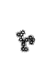 c1cc(-c2cc3ccccc3c3ccccc23)cc(N(c2ccc(-c3cccc4ccccc34)cc2)c2ccc(-c3cccc4oc5ccccc5c34)cc2)c1